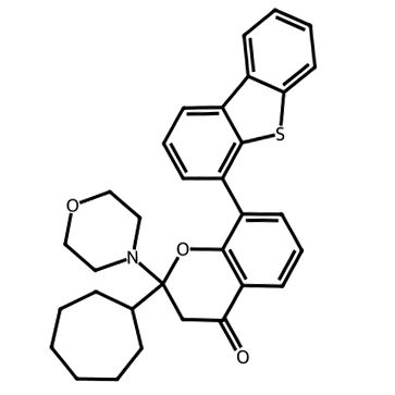 O=C1CC(C2CCCCCC2)(N2CCOCC2)Oc2c1cccc2-c1cccc2c1sc1ccccc12